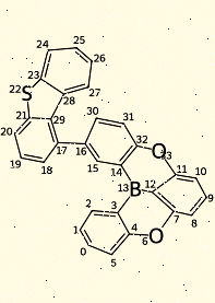 c1ccc2c(c1)Oc1cccc3c1B2c1cc(-c2cccc4sc5ccccc5c24)ccc1O3